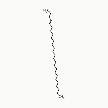 [CH2]CC/C=C/CCCCCCCCCCCCCCCCCCCC[CH2]